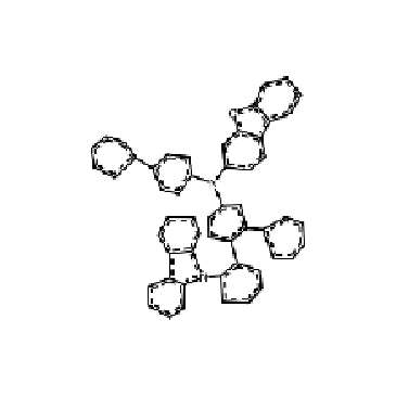 c1ccc(-c2ccc(N(c3ccc(-c4ccccc4-n4c5ccccc5c5ccccc54)c(-c4ccccc4)c3)c3ccc4c(c3)oc3ccccc34)cc2)cc1